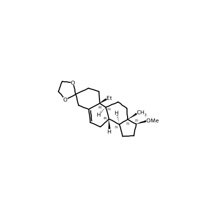 CC[C@]12CCC3(CC1=CC[C@@H]1[C@@H]2CC[C@]2(C)[C@@H](OC)CC[C@@H]12)OCCO3